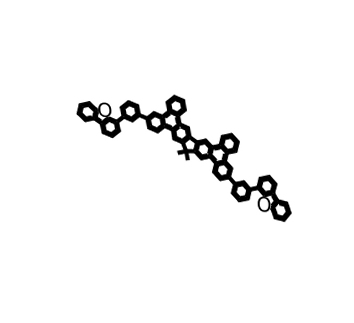 CC1(C)c2cc3c4ccc(-c5cccc(-c6cccc7c6oc6ccccc67)c5)cc4c4ccccc4c3cc2-c2cc3c4ccccc4c4cc(-c5cccc(-c6cccc7c6oc6ccccc67)c5)ccc4c3cc21